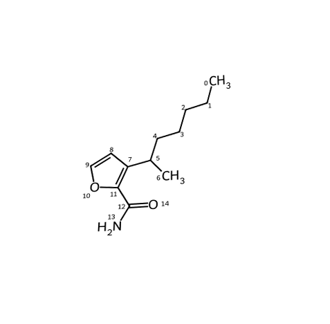 CCCCCC(C)c1ccoc1C(N)=O